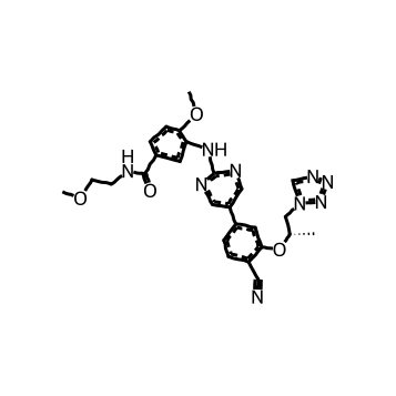 COCCNC(=O)c1ccc(OC)c(Nc2ncc(-c3ccc(C#N)c(O[C@@H](C)Cn4cnnn4)c3)cn2)c1